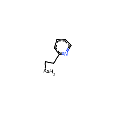 [AsH2]CCc1ccccn1